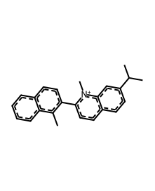 Cc1c(-c2ccc3ccc(C(C)C)cc3[n+]2C)ccc2ccccc12